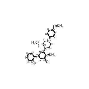 CC[C@@H]1CN(c2ccc(OC)cc2)CCN1c1nc(-c2ccncc2F)cc(=O)n1C